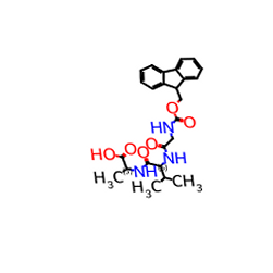 CC(C)[C@H](NC(=O)CNC(=O)OCC1c2ccccc2-c2ccccc21)C(=O)N[C@@H](C)C(=O)O